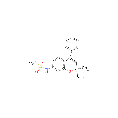 CC1(C)C=C(c2ccccc2)c2ccc(NS(C)(=O)=O)cc2O1